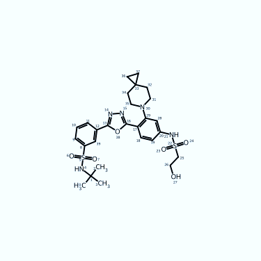 CC(C)(C)NS(=O)(=O)c1cccc(-c2nnc(-c3ccc(NS(=O)(=O)CCO)cc3N3CCC4(CC3)CC4)o2)c1